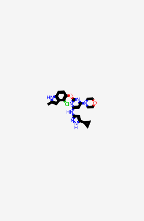 Cc1cc2c(Cl)c(Oc3nc(Nc4cc(C5CC5)[nH]n4)cc(N4CCOCC4)n3)ccc2[nH]1